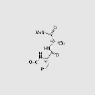 CNC(=O)[C@@H](NC(=O)[C@H](CC(C)C)NC=O)C(C)(C)C